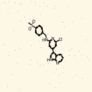 CS(=O)(=O)c1ccc(CNc2cc(-c3c[nH]c4ncccc34)cc(Cl)n2)cc1